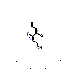 C=C/C=C(Br)\C(F)=C/CO